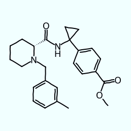 COC(=O)c1ccc(C2(NC(=O)[C@H]3CCCCN3Cc3cccc(C)c3)CC2)cc1